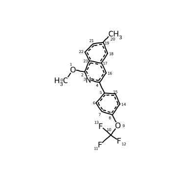 COc1nc(-c2ccc(OC(F)(F)F)cc2)cc2cc(C)ccc12